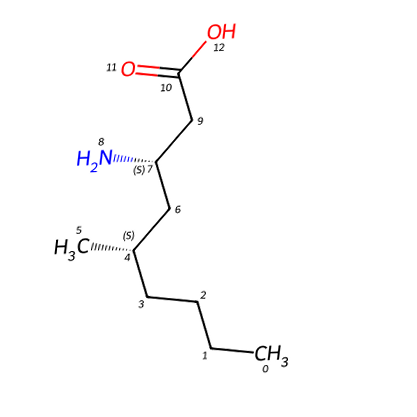 CCCC[C@H](C)C[C@H](N)CC(=O)O